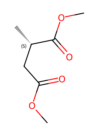 COC(=O)C[C@H](C)C(=O)OC